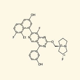 CCc1c(F)ccc2cc(O)cc(-c3ncc4c(-c5cccc(O)c5)nc(OC[C@@]56CCCN5C[C@H](F)C6)nc4c3F)c12